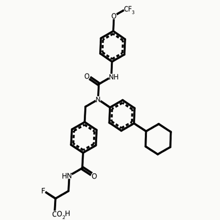 O=C(NCC(F)C(=O)O)c1ccc(CN(C(=O)Nc2ccc(OC(F)(F)F)cc2)c2ccc(C3CCCCC3)cc2)cc1